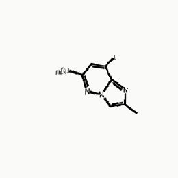 CCCCc1cc(I)c2nc(C)cn2n1